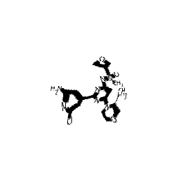 C[C@@H]1COCCN1c1cc(N=[S@@](C)(=O)C2COC2)nc(-c2cc(N)nc(Cl)c2)n1